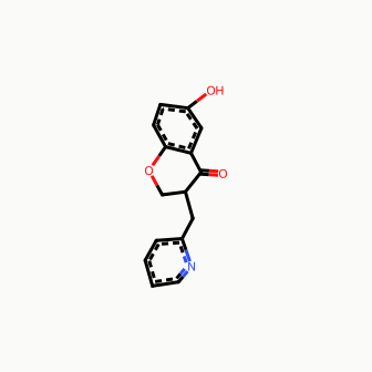 O=C1c2cc(O)ccc2OCC1Cc1ccccn1